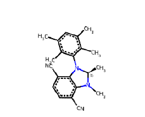 Cc1cc(C)c(C)c(N2c3c(C#N)ccc(C#N)c3N(C)[C@@H]2C)c1C